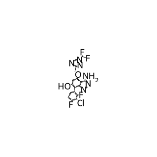 Nc1ncnc2c(-c3ccc(F)c(Cl)c3F)c(O)cc(OCc3ncn(C(F)F)n3)c12